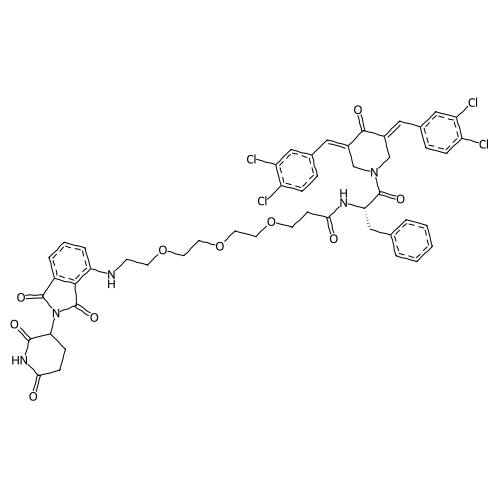 O=C1CCC(N2C(=O)c3cccc(NCCOCCOCCOCCC(=O)N[C@@H](Cc4ccccc4)C(=O)N4C/C(=C\c5ccc(Cl)c(Cl)c5)C(=O)/C(=C/c5ccc(Cl)c(Cl)c5)C4)c3C2=O)C(=O)N1